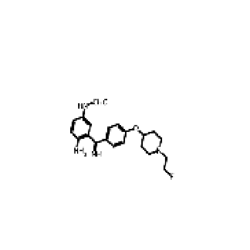 N=C(c1ccc(OC2CCN(CCF)CC2)cc1)c1cc(NC=O)ccc1N